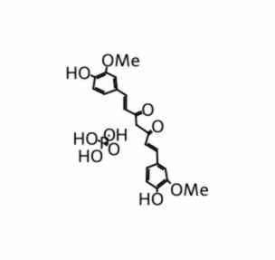 COc1cc(/C=C/C(=O)CC(=O)/C=C/c2ccc(O)c(OC)c2)ccc1O.O=P(O)(O)O